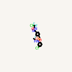 CCOP(=O)(Cc1ccc(-c2noc(C(F)(F)Cl)n2)cc1F)Nc1cccc(Cl)c1